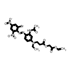 C=COC(=O)COC(=O)CCN(CC)c1ccc(N=Nc2c(Br)cc([N+](=O)[O-])cc2[N+](=O)[O-])c(NC(C)=O)c1